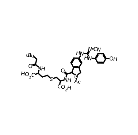 CC(=O)N1Cc2cc(NC(=NC#N)Nc3ccc(O)cc3)ccc2C1C(=O)NC(CSCCC(NC(=O)CC(C)(C)C)C(=O)O)C(=O)O